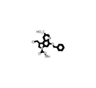 CC(C)(C)OC(=O)N1CC(CCl)c2c1cc(OCc1ccccc1)c1ncc(C(=O)O)cc21